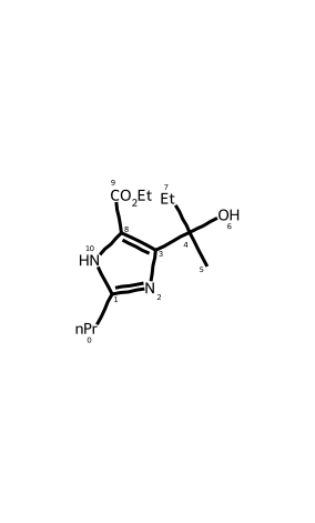 CCCc1nc(C(C)(O)CC)c(C(=O)OCC)[nH]1